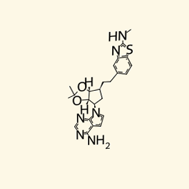 CNc1nc2cc(CC[C@H]3C[C@@H](n4ccc5c(N)ncnc54)[C@@H]4OC(C)(C)O[C@H]34)ccc2s1